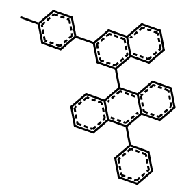 Cc1ccc(-c2cc(-c3c4ccccc4c(-c4ccccc4)c4ccccc34)c3ccccc3c2)cc1